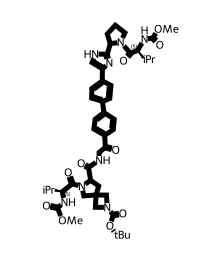 COC(=O)N[C@H](C(=O)N1CC2(CC1C(=O)NCC(=O)c1ccc(-c3ccc(-c4c[nH]c(C5CCCN5C(=O)[C@@H](NC(=O)OC)C(C)C)n4)cc3)cc1)CN(C(=O)OC(C)(C)C)C2)C(C)C